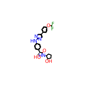 O=C(N[C@H]1CCC[C@H]1O)[C@@H](CO)c1ccc(Nc2ncc(-c3ccc(OC(F)F)cc3)cn2)cc1